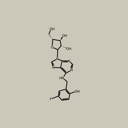 OC[C@H]1OC(n2cnc3c(NCc4cc(F)ccc4O)ncnc32)[C@@H](O)[C@@H]1O